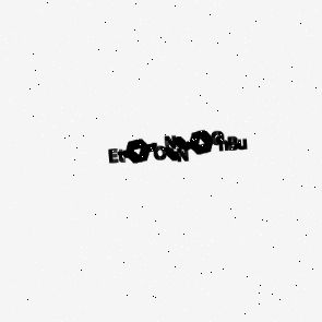 CCCCOc1ccc(-c2cnc(OCc3ccc(CC)cc3)cn2)cc1